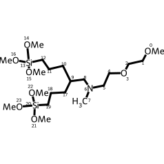 COCCOCCN(C)CC(CCC[Si](OC)(OC)OC)CCC[Si](OC)(OC)OC